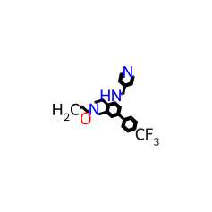 C=CC(=O)N1CCc2c(cc(-c3ccc(C(F)(F)F)cc3)cc2NCc2ccncc2)C1